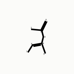 [CH]=C(C)CC(C)=CC